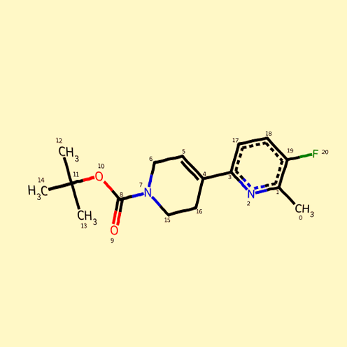 Cc1nc(C2=CCN(C(=O)OC(C)(C)C)CC2)ccc1F